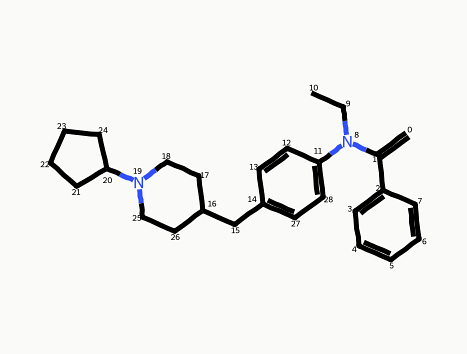 C=C(c1ccccc1)N(CC)c1ccc(CC2CCN(C3CCCC3)CC2)cc1